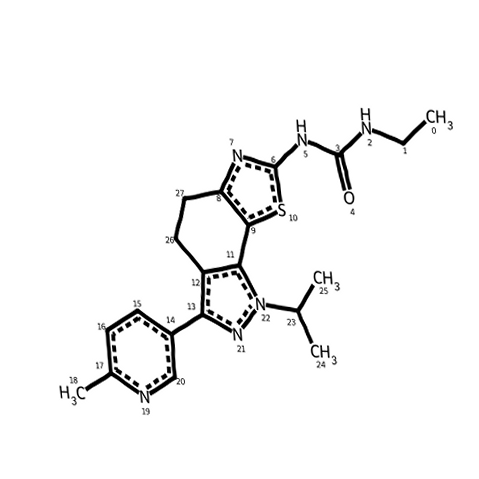 CCNC(=O)Nc1nc2c(s1)-c1c(c(-c3ccc(C)nc3)nn1C(C)C)CC2